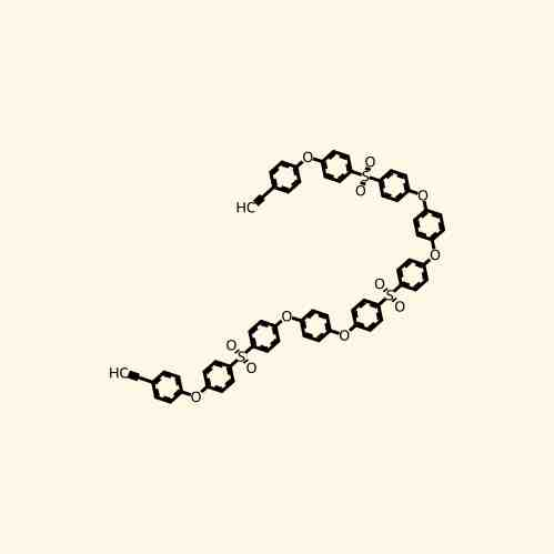 C#Cc1ccc(Oc2ccc(S(=O)(=O)c3ccc(Oc4ccc(Oc5ccc(S(=O)(=O)c6ccc(Oc7ccc(Oc8ccc(S(=O)(=O)c9ccc(Oc%10ccc(C#C)cc%10)cc9)cc8)cc7)cc6)cc5)cc4)cc3)cc2)cc1